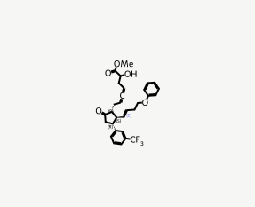 COC(=O)C(O)CC=C=CC[C@H]1C(=O)C[C@@H](c2cccc(C(F)(F)F)c2)[C@@H]1/C=C/CCOc1ccccc1